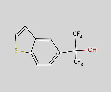 OC(c1ccc2sccc2c1)(C(F)(F)F)C(F)(F)F